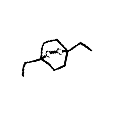 CCC12CCC(CC)(CC1)CC2